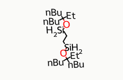 CCCCC(CC)(CCCC)O[SiH2]CC[SiH2]OC(CC)(CCCC)CCCC